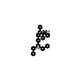 N=C(/C(=C1\NC(c2ccccc2)=Cc2ccc(-c3ccc(-c4cc(-c5cccc(-c6ccccc6)c5)nc(-c5cccc(-c6ccccc6)c5)c4)cc3)cc21)c1ccccc1)c1ccccc1